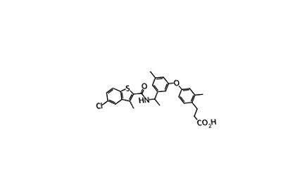 Cc1cc(Oc2ccc(CCC(=O)O)c(C)c2)cc(C(C)NC(=O)c2sc3ccc(Cl)cc3c2C)c1